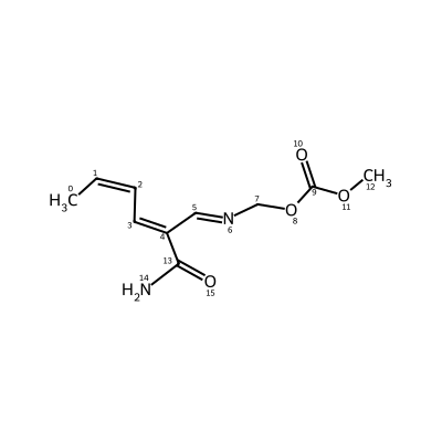 C\C=C/C=C(\C=N\COC(=O)OC)C(N)=O